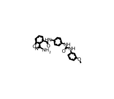 COc1cccc(NC(=O)Nc2ccc(NC(=O)c3cccc4onc(N)c34)cc2)c1